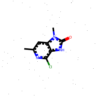 Cc1cc2c([nH]c(=O)n2C)c(Cl)n1